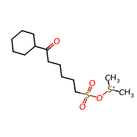 C[S+](C)OS(=O)(=O)CCCCCC(=O)C1CCCCC1